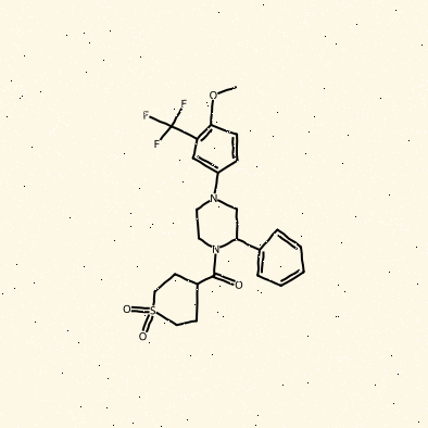 COc1ccc(N2CCN(C(=O)C3CCS(=O)(=O)CC3)C(c3ccccc3)C2)cc1C(F)(F)F